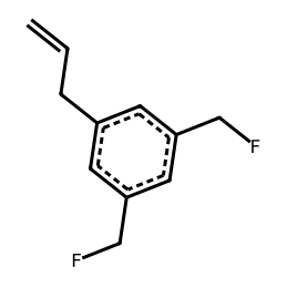 C=CCc1cc(CF)cc(CF)c1